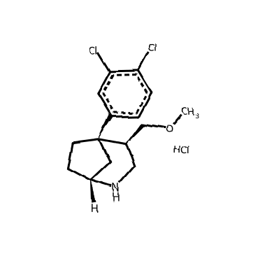 COC[C@H]1CN[C@@H]2CC[C@@]1(c1ccc(Cl)c(Cl)c1)C2.Cl